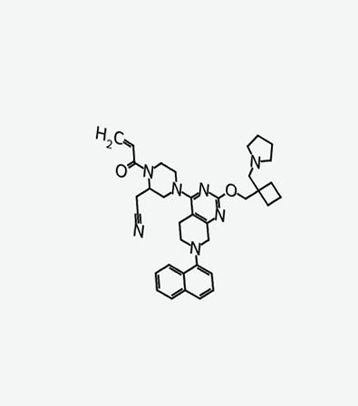 C=CC(=O)N1CCN(c2nc(OCC3(CN4CCCC4)CCC3)nc3c2CCN(c2cccc4ccccc24)C3)CC1CC#N